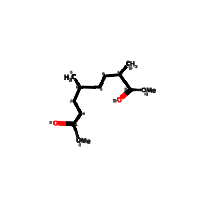 COC(=O)CCC(C)CCC(C)C(=O)OC